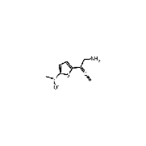 C=C=C(CN)c1ccc([S+](C)[O-])s1